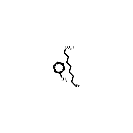 CC(C)CCCCCCCC(=O)O.Cc1ccccc1